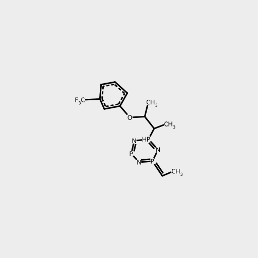 C/C=P1=NP=N[PH](C(C)C(C)Oc2cccc(C(F)(F)F)c2)=N/1